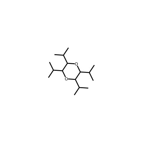 CC(C)C1OC(C(C)C)C(C(C)C)OC1C(C)C